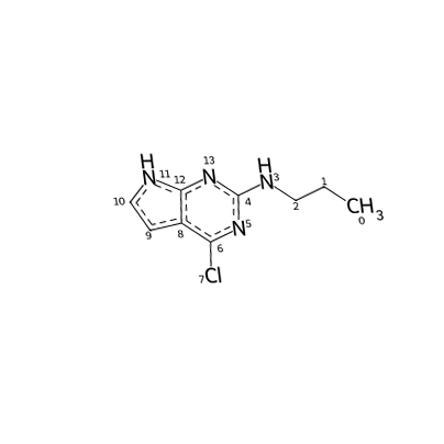 CCCNc1nc(Cl)c2cc[nH]c2n1